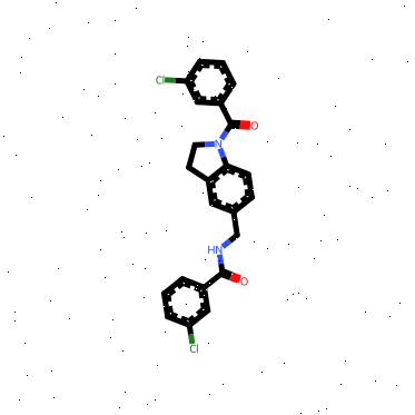 O=C(NCc1ccc2c(c1)CCN2C(=O)c1cccc(Cl)c1)c1cccc(Cl)c1